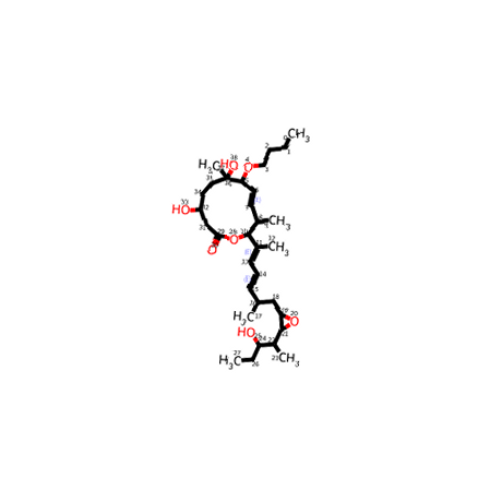 CCCCOC1/C=C/C(C)C(/C(C)=C/C=C/C(C)CC2OC2C(C)C(O)CC)OC(=O)CC(O)CCC1(C)O